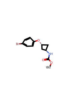 CC(C)(C)OC(=O)N[C@H]1C[C@H](Oc2ccc(Br)cc2)C1